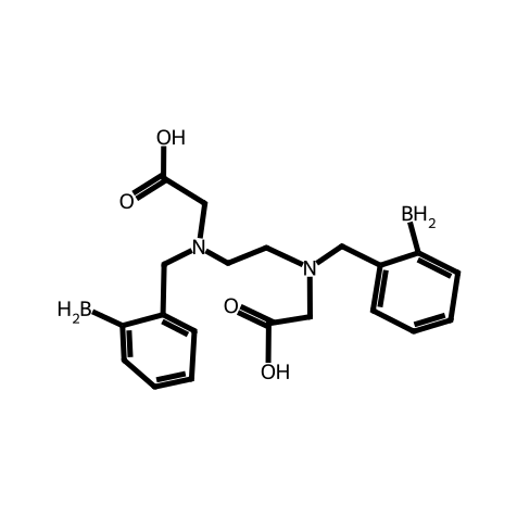 Bc1ccccc1CN(CCN(CC(=O)O)Cc1ccccc1B)CC(=O)O